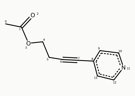 CC(=O)OCCC#Cc1ccncc1